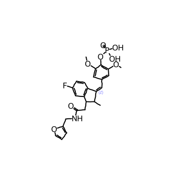 COc1cc(/C=C2\c3ccc(F)cc3C(CC(=O)NCc3ccco3)C2C)cc(OC)c1OP(=O)(O)O